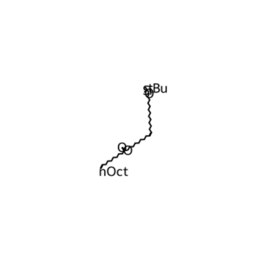 CCCCCCCC/C=C\CCCCCCCC(=O)OCCCCCCC/C=C\CCCCCCCCCCCO[Si](C)(C)C(C)(C)C